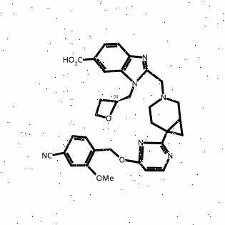 COc1cc(C#N)ccc1COc1ccnc(C23CCN(Cc4nc5ccc(C(=O)O)cc5n4C[C@@H]4CCO4)CC2C3)n1